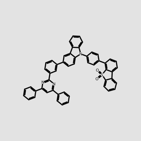 O=S1(=O)c2ccccc2-c2cccc(-c3ccc(-n4c5ccccc5c5cc(-c6cccc(-c7nc(-c8ccccc8)cc(-c8ccccc8)n7)c6)ccc54)cc3)c21